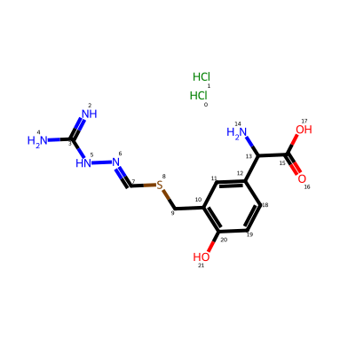 Cl.Cl.N=C(N)NN=CSCc1cc(C(N)C(=O)O)ccc1O